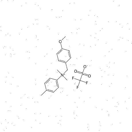 COc1ccc(C[N+](C)(C)c2ccc(C)cc2)cc1.O=S(=O)([O-])C(F)(F)F